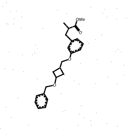 COC(=O)C(C)Cc1cccc(OCC2CC(OCc3ccccc3)C2)c1